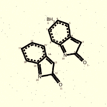 B.O=C1C=c2ccccc2=N1.O=C1C=c2ccccc2=N1